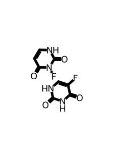 O=c1[nH]cc(F)c(=O)[nH]1.O=c1cc[nH]c(=O)n1F